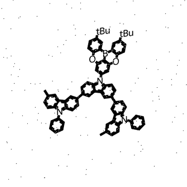 Cc1ccc2c(c1)c1cc(-c3ccc4c(c3)c3cc(-c5ccc6c(c5)c5cc(C)ccc5n6-c5ccccc5)ccc3n4-c3cc4c5c(c3)Oc3ccc(C(C)(C)C)cc3B5c3cc(C(C)(C)C)ccc3O4)ccc1n2-c1ccccc1